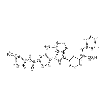 Nc1nccn2c([C@@H]3CCC[C@H](N(Cc4ccccc4)C(=O)O)C3)nc(-c3ccc(C(=O)Nc4cc(C(F)(F)F)ccn4)cc3)c12